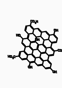 O=C(O)C1=C2C=C3C=C4C(O)=CC=C5c6c(C(=O)O)cc7c8cc(O)cc9cc%10c(O)c%11cc(C(=O)O)cc%12c%13c%14c%15c%16c%17c(c6c7c6c%17c%14c(c%11%12)c%10c6c98)C(C45)C3C%16(O)C2C(=C%15C(O)C=%13)C=C1